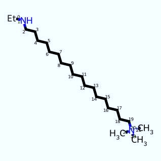 CCNCCCCCCCCCCCCCCCCCC[N+](C)(C)C